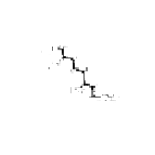 [CH2]CCC(S)CCCC(S)CC